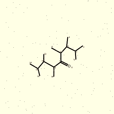 CC(C)C(C)C(C)C(=O)C(C)C(C)C(C)C